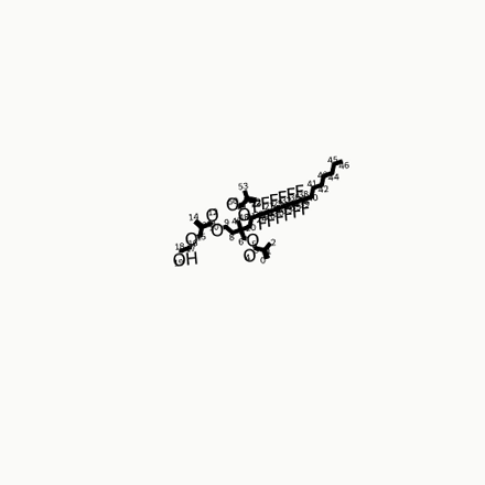 C=C(C)C(=O)OCC(CCOC(=O)C(=C)COCCO)(CCC(F)(F)C(F)(F)C(F)(F)C(F)(F)C(F)(F)C(F)(F)CCCCCCC)COC(=O)C(=C)C